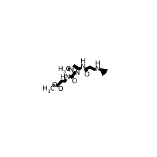 COC(=O)CCNC(=O)c1nc(NC(=O)CCNC2C#C2)cn1C